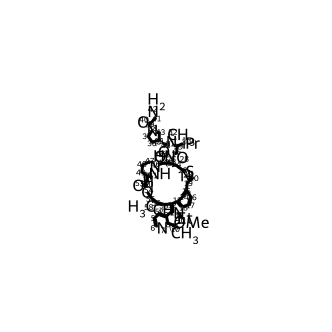 CCn1c(-c2cccnc2[C@H](C)OC)c2c3cc(ccc31)-c1csc(n1)C[C@H](NC(=O)C(C(C)C)N(C)C(=O)[C@H]1CCN(C(=O)CN)C1)C(=O)N1CCC[C@H](N1)C(=O)OCC(C)(C)C2